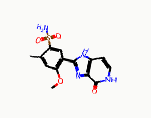 COc1cc(C)c(S(N)(=O)=O)cc1-c1nc2c(=O)[nH]ccc2[nH]1